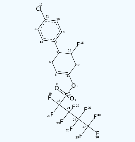 O=S(=O)(OC1=CCC(c2ccc(Cl)cc2)C(F)C1)C(F)(F)C(F)(F)C(F)(F)C(F)(F)F